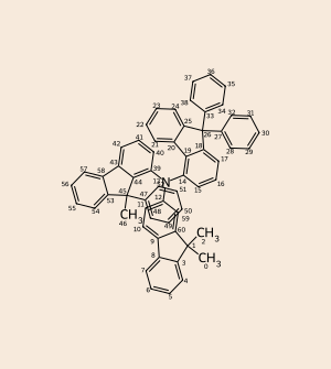 CC1(C)c2ccccc2-c2ccc(N(c3cccc4c3-c3ccccc3C4(c3ccccc3)c3ccccc3)c3cccc4c3C(C)(c3ccccc3)c3ccccc3-4)cc21